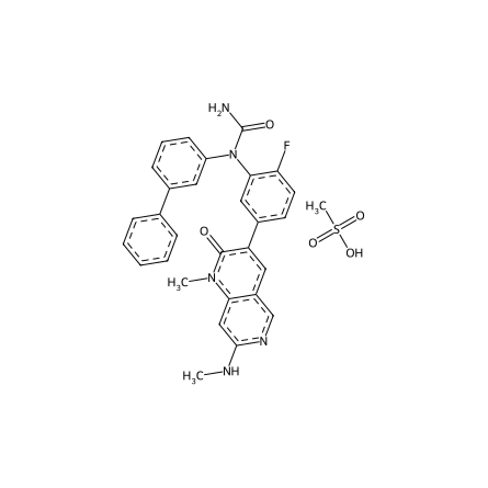 CNc1cc2c(cn1)cc(-c1ccc(F)c(N(C(N)=O)c3cccc(-c4ccccc4)c3)c1)c(=O)n2C.CS(=O)(=O)O